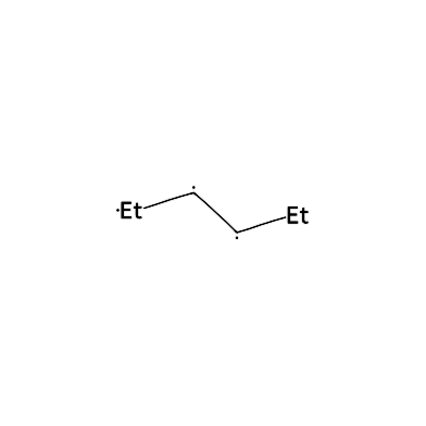 [CH2]C[CH][CH][CH]C